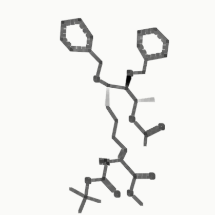 COC(=O)/C(=C/CCC[C@H](OCc1ccccc1)[C@@H](OCc1ccccc1)[C@H](C)OC(C)=O)NC(=O)OC(C)(C)C